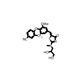 COc1cc(/C=C2\SC(N(C)CC(O)CO)=NC2=O)ccc1Oc1ccc(C#N)cc1C(F)(F)F